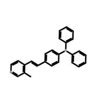 Cc1cnccc1/C=C/c1ccc(N(c2ccccc2)c2ccccc2)cc1